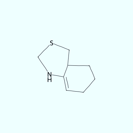 C1=C2NCSCC2CCC1